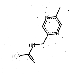 Cc1cnc(CNC(N)=S)cn1